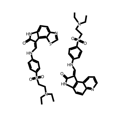 CCN(CC)CCS(=O)(=O)c1ccc(NC=C2C(=O)Nc3ccc4ncccc4c32)cc1.CCN(CC)CCS(=O)(=O)c1ccc(NC=C2C(=O)Nc3ccc4ncsc4c32)cc1